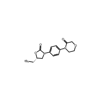 CC(C)(C)C[C@H]1CN(c2ccc(N3CCOCC3=O)cc2)C(=O)O1